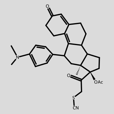 CC(=O)O[C@]1(C(=O)CSC#N)CCC2C3CCC4=CC(=O)CCC4=C3C(c3ccc(N(C)C)cc3)C[C@@]21C